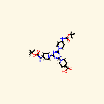 CC(C)(C)OC(=O)NC1CCN(c2nc(N3CCC(NC(=O)OC(C)(C)C)CC3)nc(N3CCC(C(=O)O)CC3)n2)CC1